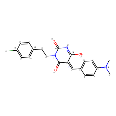 CN(C)c1ccc(/C=C2/C(=O)N(CCc3ccc(F)cc3)C(=O)N=C2O)cc1